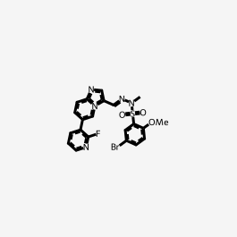 COc1ccc(Br)cc1S(=O)(=O)N(C)N=Cc1cnc2ccc(-c3cccnc3F)cn12